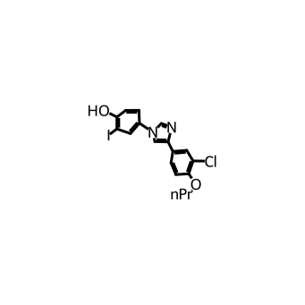 CCCOc1ccc(-c2cn(-c3ccc(O)c(I)c3)cn2)cc1Cl